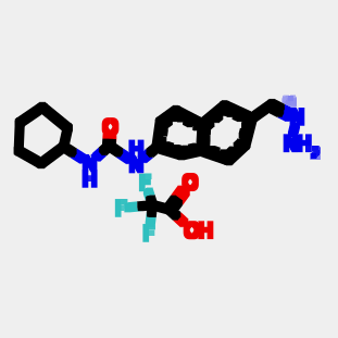 N/N=C\c1ccc2cc(NC(=O)NC3CCCCC3)ccc2c1.O=C(O)C(F)(F)F